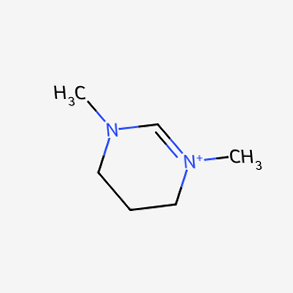 CN1C=[N+](C)CCC1